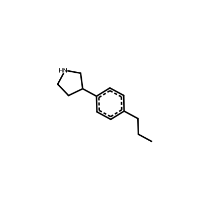 CCCc1ccc(C2CCNC2)cc1